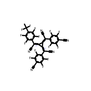 CC(F)(F)c1c(F)c(F)c(/C(C#N)=C2\C(=C(C#N)c3c(F)c(F)c(C#N)c(F)c3F)\C2=C(/C#N)c2c(F)c(F)c(C#N)c(F)c2F)c(F)c1F